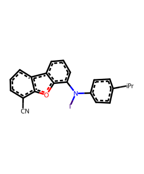 CC(C)c1ccc(N(I)c2cccc3c2oc2c(C#N)cccc23)cc1